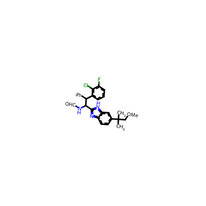 COCC(C)(C)c1ccc2nc(C(NC=O)C(c3cccc(F)c3Cl)C(C)C)[nH]c2c1